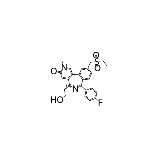 CCS(=O)(=O)Cc1ccc2c(c1)-c1cn(C)c(=O)cc1[C@H](CCO)N=C2c1ccc(F)cc1